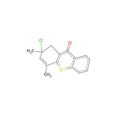 CC1=CC(C)(Cl)Cc2c1sc1ccccc1c2=O